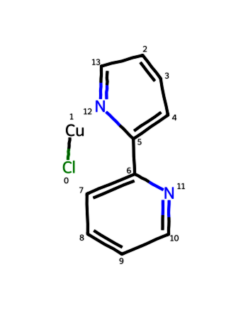 [Cl][Cu].c1ccc(-c2ccccn2)nc1